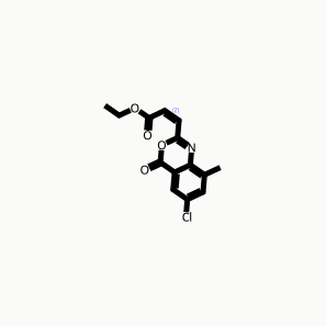 CCOC(=O)/C=C\c1nc2c(C)cc(Cl)cc2c(=O)o1